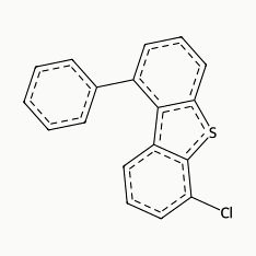 Clc1cccc2c1sc1cccc(-c3ccccc3)c12